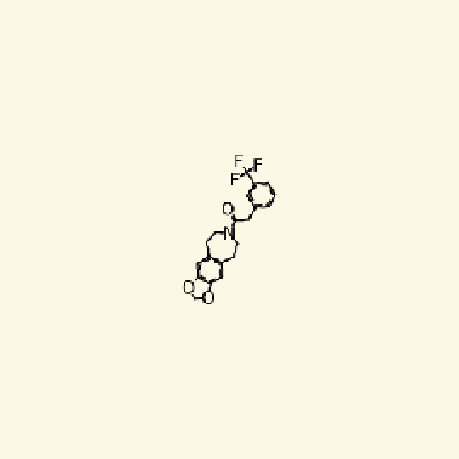 O=C(Cc1cccc(C(F)(F)F)c1)N1CCc2cc3c(cc2CC1)OCO3